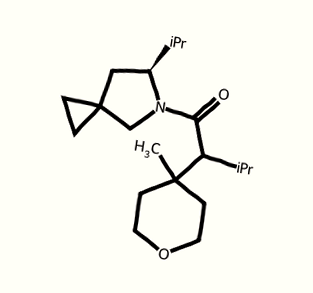 CC(C)C(C(=O)N1CC2(CC2)C[C@H]1C(C)C)C1(C)CCOCC1